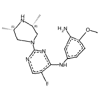 COc1ccc(Nc2nc(N3C[C@@H](C)N[C@@H](C)C3)ncc2F)cc1N